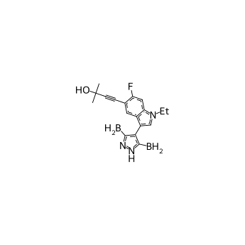 Bc1n[nH]c(B)c1-c1cn(CC)c2cc(F)c(C#CC(C)(C)O)cc12